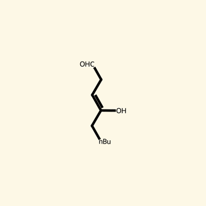 CCCCCC(O)=CCC=O